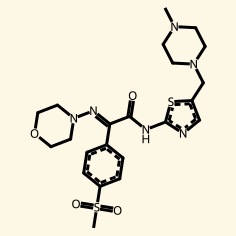 CN1CCN(Cc2cnc(NC(=O)/C(=N/N3CCOCC3)c3ccc(S(C)(=O)=O)cc3)s2)CC1